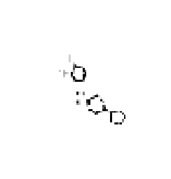 Nc1ccc(OS(=O)(=O)c2ccc(C3CCCC3)cc2)cc1[N+](=O)[O-]